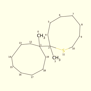 CC1(C2(C)CCCCCCCS2)CCCCCCCC1